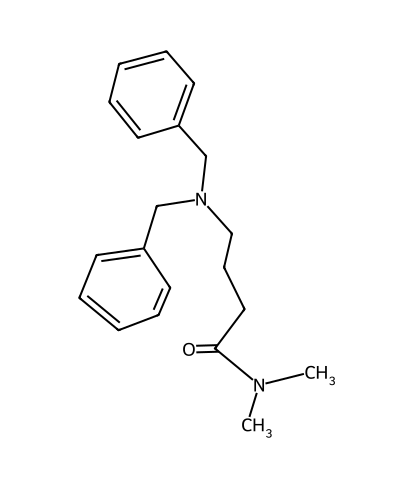 CN(C)C(=O)CCCN(Cc1ccccc1)Cc1ccccc1